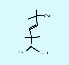 CC(=O)OC(C)(C)/C=C/C(C)(C)C(C(=O)O)C(=O)O